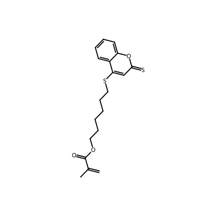 C=C(C)C(=O)OCCCCCCSc1cc(=S)oc2ccccc12